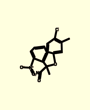 Cc1cc(OC(C)(C(N)=O)c2ccccc2[N+](=O)[O-])ccc1Cl